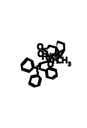 CC1(C)C2CC[C@]13CS(=O)(=O)N(C(=O)C=P(c1ccccc1)(c1ccccc1)c1ccccc1)[C@@H]3C2